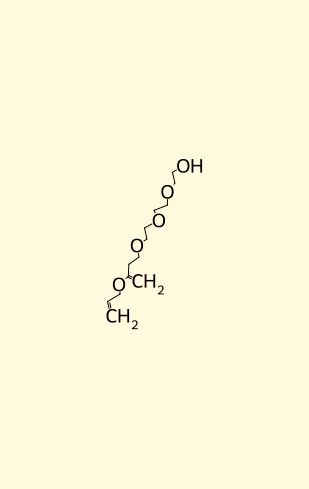 C=CCOC(=C)CCOCCOCCOCCO